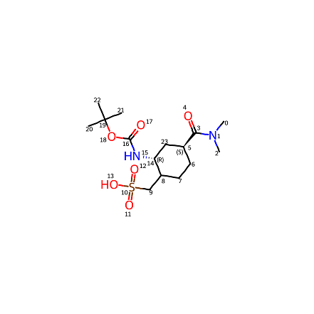 CN(C)C(=O)[C@H]1CCC(CS(=O)(=O)O)[C@H](NC(=O)OC(C)(C)C)C1